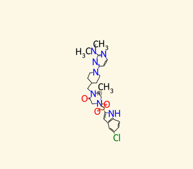 C[C@@H]1CN(S(=O)(=O)c2cc3cc(Cl)ccc3[nH]2)CC(=O)N1CC1CCN(c2ccnc(N(C)C)n2)CC1